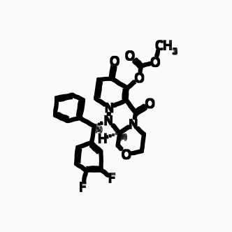 COC(=O)Oc1c2n(ccc1=O)N([C@@H](c1ccccc1)c1ccc(F)c(F)c1)[C@@H]1COCCN1C2=O